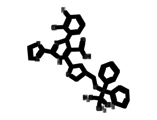 CC(C)(C)[Si](OCC1COC(C2=C(C(=O)O)C(c3cccc(F)c3Cl)N=C(c3nccs3)N2)C1)(c1ccccc1)c1ccccc1